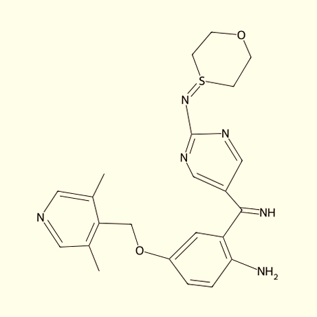 Cc1cncc(C)c1COc1ccc(N)c(C(=N)c2cnc(N=S3CCOCC3)nc2)c1